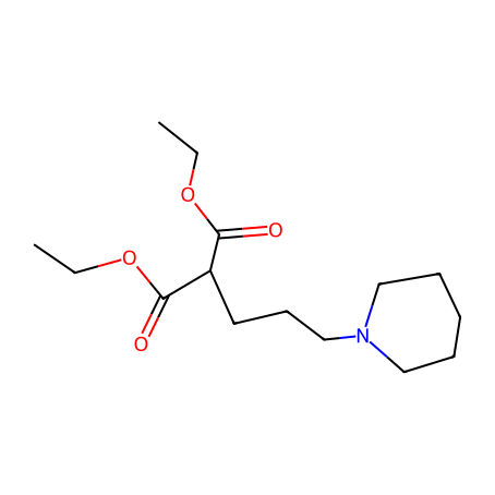 CCOC(=O)C(CCCN1CCCCC1)C(=O)OCC